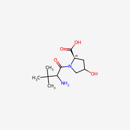 CC(C)(C)C(N)C(=O)N1CC(O)C[C@@H]1C(=O)O